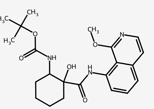 COc1nccc2cccc(NC(=O)C3(O)CCCCC3NC(=O)OC(C)(C)C)c12